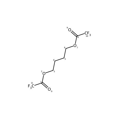 O=C(OCCCCOC(=O)C(F)(F)F)C(F)(F)F